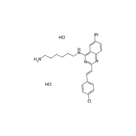 CC(C)c1ccc2nc(/C=C/c3ccc(Cl)cc3)nc(NCCCCCCN)c2c1.Cl.Cl